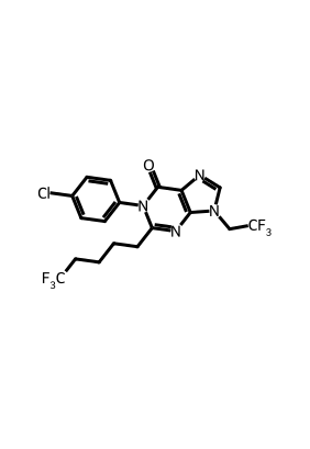 O=c1c2ncn(CC(F)(F)F)c2nc(CCCCC(F)(F)F)n1-c1ccc(Cl)cc1